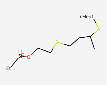 CCCCCCCSC(C)CCSCCO[SiH2]CC